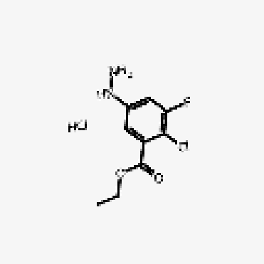 CCOC(=O)c1cc(NN)cc(F)c1Cl.Cl